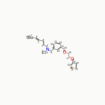 CCN(C/C=C/C#CC(C)(C)C)Cc1cccc(COCCOc2ccsc2)c1